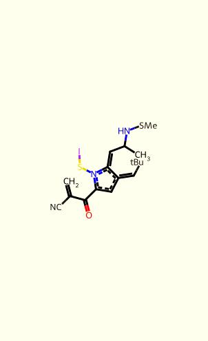 C=C(C#N)C(=O)c1cc(=C/C(C)(C)C)/c(=C\C(C)NSC)n1SI